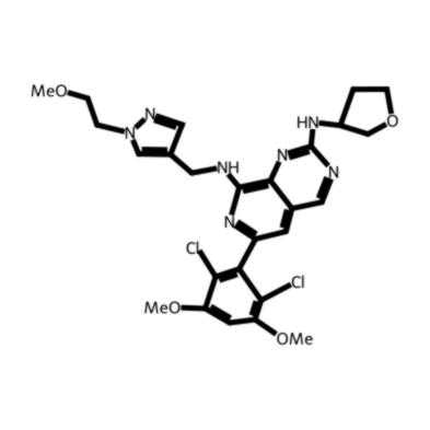 COCCn1cc(CNc2nc(-c3c(Cl)c(OC)cc(OC)c3Cl)cc3cnc(NC4CCOC4)nc23)cn1